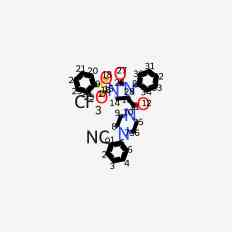 N#Cc1ccccc1N1CCN(C(=O)C2CN(S(=O)(=O)c3ccccc3C(F)(F)F)C(=O)N2c2ccccc2)CC1